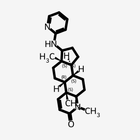 CN1C(=O)C=C[C@@]2(C)C1CC[C@@H]1[C@H]2CC[C@]2(C)C(Nc3ccccn3)CC[C@@H]12